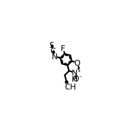 C#CCC1c2cc(N=C=S)c(F)cc2OC[NH+]1[O-]